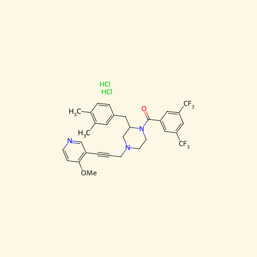 COc1ccncc1C#CCN1CCN(C(=O)c2cc(C(F)(F)F)cc(C(F)(F)F)c2)C(Cc2ccc(C)c(C)c2)C1.Cl.Cl